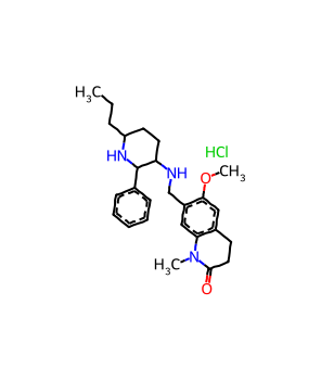 CCCC1CCC(NCc2cc3c(cc2OC)CCC(=O)N3C)C(c2ccccc2)N1.Cl